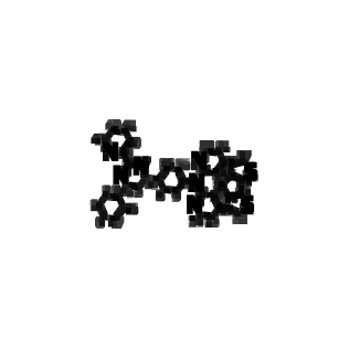 c1ccc(-c2cc(-c3ccc(N4c5ncccc5C5(c6cccnc64)c4ccsc4-c4sccc45)cc3)nc(-c3ccccn3)n2)cc1